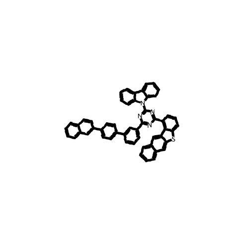 c1cc(-c2ccc(-c3ccc4ccccc4c3)cc2)cc(-c2nc(-c3cccc4sc5cc6ccccc6cc5c34)nc(-n3c4ccccc4c4ccccc43)n2)c1